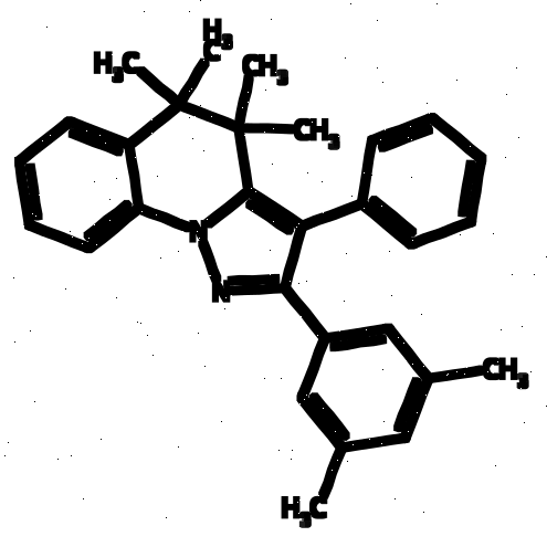 Cc1cc(C)cc(-c2nn3c(c2-c2ccccc2)C(C)(C)C(C)(C)c2ccccc2-3)c1